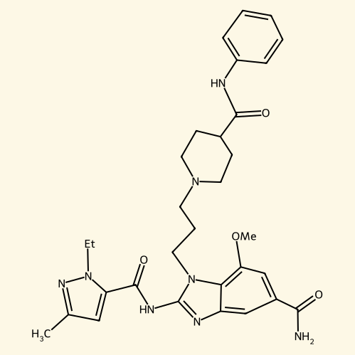 CCn1nc(C)cc1C(=O)Nc1nc2cc(C(N)=O)cc(OC)c2n1CCCN1CCC(C(=O)Nc2ccccc2)CC1